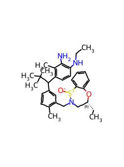 CCNc1ccc(C(c2ccc(C)c(CN3C[C@@H](CC)Oc4ccccc4[S+]3[O-])c2)C(C)(C)C)c(C)c1N